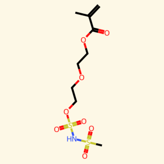 C=C(C)C(=O)OCCOCCOS(=O)(=O)NS(C)(=O)=O